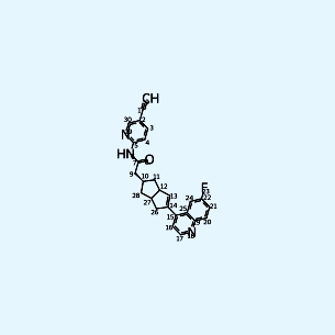 C#Cc1ccc(NC(=O)C[C@H]2CC3C=C(c4ccnc5ccc(F)cc45)CC3C2)nc1